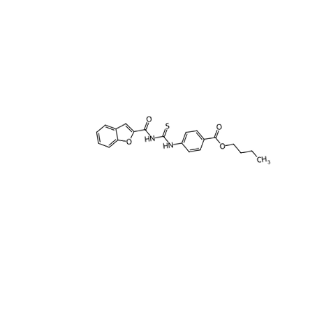 CCCCOC(=O)c1ccc(NC(=S)NC(=O)c2cc3ccccc3o2)cc1